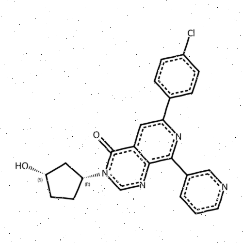 O=c1c2cc(-c3ccc(Cl)cc3)nc(-c3cccnc3)c2ncn1[C@@H]1CC[C@H](O)C1